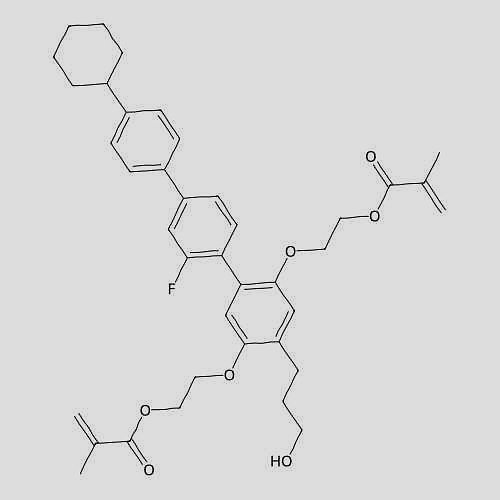 C=C(C)C(=O)OCCOc1cc(-c2ccc(-c3ccc(C4CCCCC4)cc3)cc2F)c(OCCOC(=O)C(=C)C)cc1CCCO